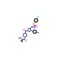 N#CC1(C(=O)N2CCC(C(=O)N3CC(CNC(=O)Oc4ccc(F)cc4)C(c4ccc(F)cc4)C3)CC2)CC1